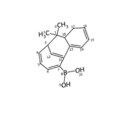 CC1(C)C2C=CC=C(B(O)O)C(=C2)C2=CC=CCC21